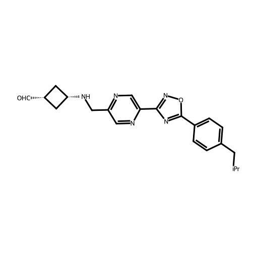 CC(C)Cc1ccc(-c2nc(-c3cnc(CN[C@H]4C[C@@H](C=O)C4)cn3)no2)cc1